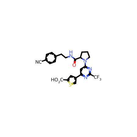 N#Cc1ccc(CCNC(=O)C2CCCN2c2cc(-c3csc(C(=O)O)c3)nc(C(F)(F)F)n2)cc1